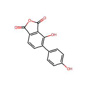 O=C1OC(=O)c2c1ccc(-c1ccc(O)cc1)c2O